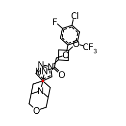 O=C(COc1ccc(Cl)c(F)c1)NC1CC2COCC(C1)N2c1cnn(C2CC(OC(F)(F)F)C2)c1